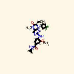 CC[C@@H]1C(=O)N(C)c2cnc(Nc3ccc(C(=O)NC4CC4)cc3OC)nc2N1[C@@H]1CCC(F)(F)C1